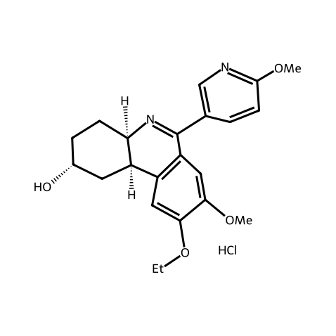 CCOc1cc2c(cc1OC)C(c1ccc(OC)nc1)=N[C@@H]1CC[C@@H](O)C[C@H]21.Cl